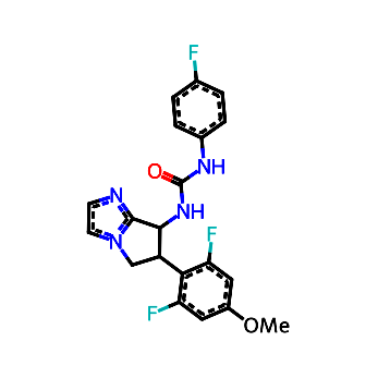 COc1cc(F)c(C2Cn3ccnc3C2NC(=O)Nc2ccc(F)cc2)c(F)c1